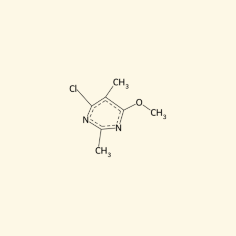 COc1nc(C)nc(Cl)c1C